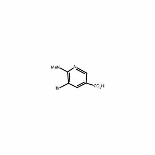 CNc1ncc(C(=O)O)cc1Br